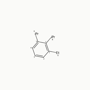 [CH2]Cc1cccc(C(C)C)c1C(C)C